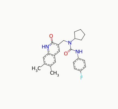 Cc1cc2cc(CN(C(=O)Nc3ccc(F)cc3)C3CCCC3)c(=O)[nH]c2cc1C